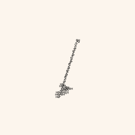 O=C(O)CCOCCOCCOCCOCCOCCOCCOCCOCCOCCOCCOCCOCCNC(=O)NCCN(C[C@H](O)[C@@H](O)[C@H](O)[C@H](O)CO)C[C@H](O)[C@@H](O)[C@H](O)[C@H](O)CO